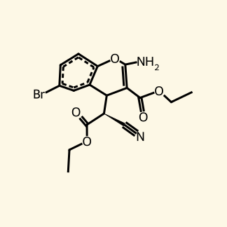 CCOC(=O)C1=C(N)Oc2ccc(Br)cc2C1[C@@H](C#N)C(=O)OCC